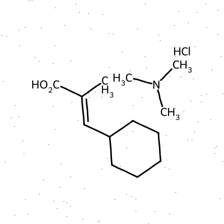 CC(=CC1CCCCC1)C(=O)O.CN(C)C.Cl